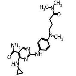 CN(C)C(=O)CCCN(C)c1ccc(Nc2ncc(C(N)=O)c(NC3CC3)n2)cc1